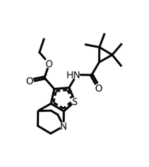 CCOC(=O)c1c(NC(=O)C2C(C)(C)C2(C)C)sc2c1C1CCN2CC1